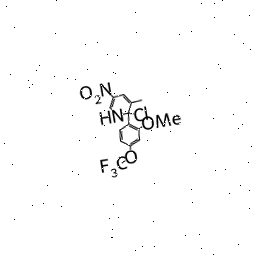 COc1cc(OC(F)(F)F)ccc1C1(Cl)NC=C([N+](=O)[O-])C=C1C